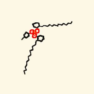 CCCCCCCCCCCCCCc1ccccc1OP(Oc1ccc(C)cc1)Oc1ccccc1CCCCCCCCCCCCCC